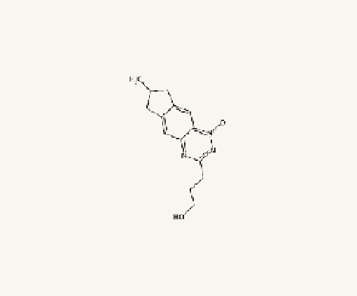 CC1Cc2cc3nc(CCCO)n[n+]([O-])c3cc2C1